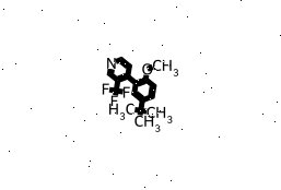 COc1ccc(C(C)(C)C)cc1-c1ccncc1C(F)(F)F